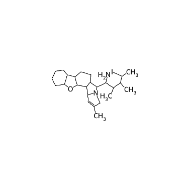 CC1=CC2C3C(CCC4C5CCCCC5OC43)C(C(N)C(C)C(C)C(C)I)N2C1